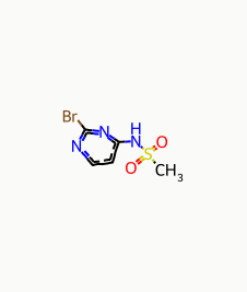 CS(=O)(=O)Nc1ccnc(Br)n1